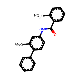 COc1cc(NC(=O)c2ccccc2C(=O)O)ccc1-c1ccccc1